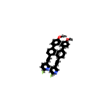 CCCOc1ccc(C2CCC(C#Cc3ccc(F)nc3)CC2)cc1.CCOc1ccc(C2CCC(C#Cc3ccc(F)nc3)CC2)cc1